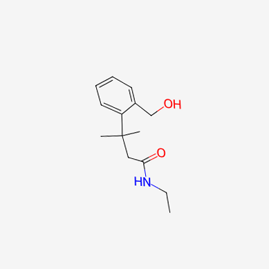 CCNC(=O)CC(C)(C)c1ccccc1CO